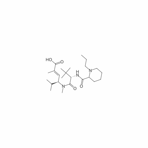 CCCN1CCCCC1C(=O)N[C@H](C(=O)N(C)[C@H](/C=C(\C)C(=O)O)C(C)C)C(C)(C)C